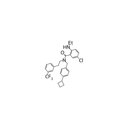 CCNc1ccc(Cl)cc1C(=O)N(CCc1cccc(C(F)(F)F)c1)Cc1ccc(C2CCC2)cc1